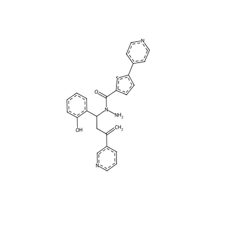 C=C(CC(c1ccccc1O)N(N)C(=O)c1ccc(-c2ccncc2)s1)c1cccnc1